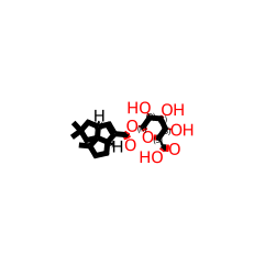 CC1CC[C@H]2C(C(=O)O[C@H]3O[C@H](C(=O)O)[C@@H](O)[C@H](O)[C@H]3O)=C[C@@H]3CC(C)(C)CC132